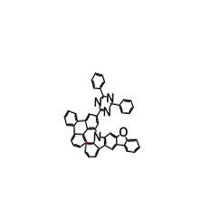 c1ccc(-c2nc(-c3ccccc3)nc(-c3cc(-n4c5ccccc5c5cc6c(cc54)oc4ccccc46)c4c5ccccc5c5ccccc5c4c3)n2)cc1